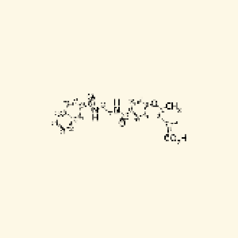 CC(CC1CC1C(=O)O)Oc1ccc(C(=O)NCCNC(=O)c2ccc3ccccc3c2)cc1